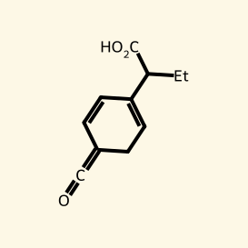 CCC(C(=O)O)C1=CCC(=C=O)C=C1